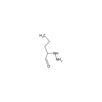 CCCC(C=O)NN